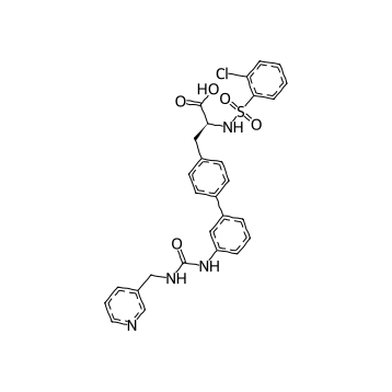 O=C(NCc1cccnc1)Nc1cccc(-c2ccc(C[C@H](NS(=O)(=O)c3ccccc3Cl)C(=O)O)cc2)c1